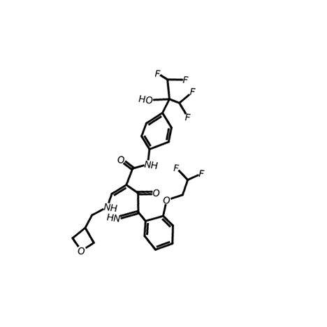 N=C(C(=O)/C(=C\NCC1COC1)C(=O)Nc1ccc(C(O)(C(F)F)C(F)F)cc1)c1ccccc1OCC(F)F